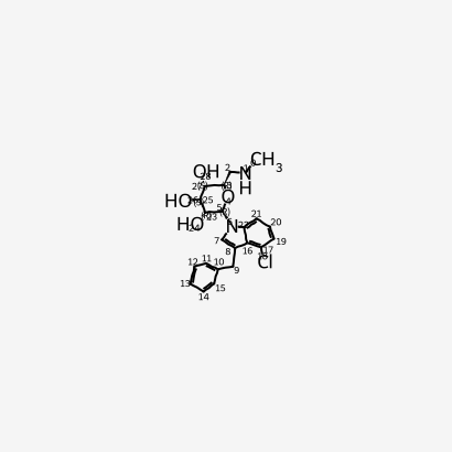 CNC[C@H]1O[C@@H](n2cc(Cc3ccccc3)c3c(Cl)cccc32)[C@H](O)[C@@H](O)[C@@H]1O